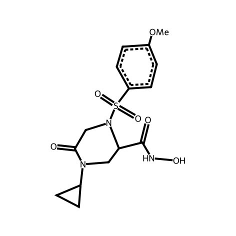 COc1ccc(S(=O)(=O)N2CC(=O)N(C3CC3)CC2C(=O)NO)cc1